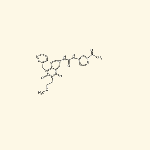 COCCn1c(=O)c2cc(NC(=O)Nc3cccc(C(C)=O)c3)ccc2n(Cc2cccnc2)c1=O